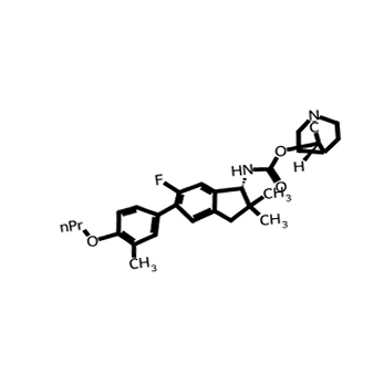 CCCOc1ccc(-c2cc3c(cc2F)[C@H](NC(=O)O[C@@H]2CN4CCC2CC4)C(C)(C)C3)cc1C